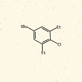 CCc1cc(C(C)(C)C)cc(CC)c1Cl